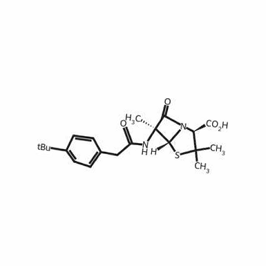 CC(C)(C)c1ccc(CC(=O)N[C@@]2(C)C(=O)N3[C@@H](C(=O)O)C(C)(C)S[C@@H]32)cc1